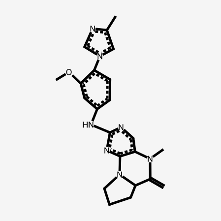 C=C1C2CCCN2c2nc(Nc3ccc(-n4cnc(C)c4)c(OC)c3)ncc2N1C